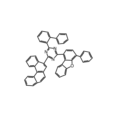 c1ccc(-c2ccccc2-c2nc(-c3cc4ccc5ccccc5c4c4ccccc34)nc(-c3ccc(-c4ccccc4)c4oc5ccccc5c34)n2)cc1